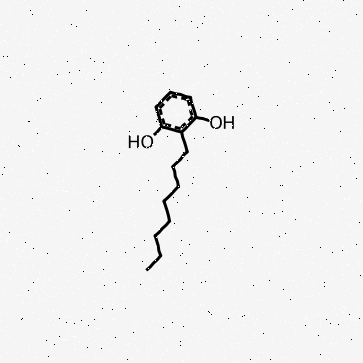 CCCCCCCCc1c(O)cccc1O